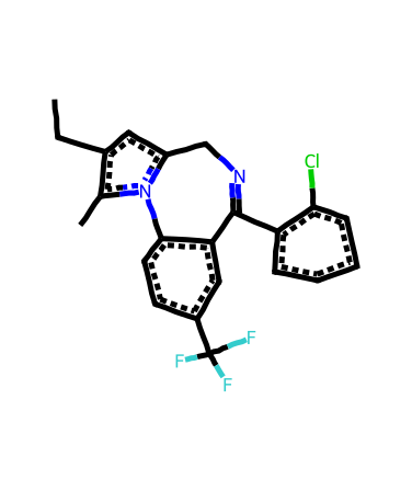 CCc1cc2n(c1C)-c1ccc(C(F)(F)F)cc1C(c1ccccc1Cl)=NC2